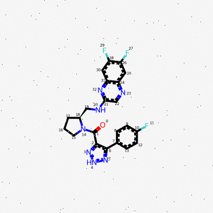 O=C(c1n[nH]nc1-c1ccc(F)cc1)N1CCC[C@H]1CNc1cnc2cc(F)c(F)cc2n1